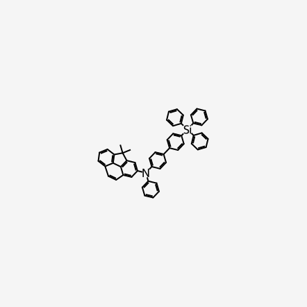 CC1(C)c2cccc3ccc4cc(N(c5ccccc5)c5ccc(-c6ccc([Si](c7ccccc7)(c7ccccc7)c7ccccc7)cc6)cc5)cc1c4c23